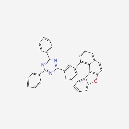 c1ccc(-c2nc(-c3ccccc3)nc(-c3cccc(-c4cccc5ccc6oc7ccccc7c6c45)c3)n2)cc1